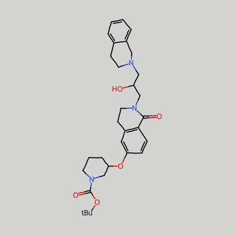 CC(C)(C)OC(=O)N1CCCC(Oc2ccc3c(c2)CCN(CC(O)CN2CCc4ccccc4C2)C3=O)C1